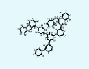 c1ccc(-c2cccc(-c3cc(-c4cccc(-c5nc6ccccc6c6sc7ccccc7c56)c4)nc(-c4ccc(-c5cccc6c5oc5ccccc56)cc4)n3)c2)cc1